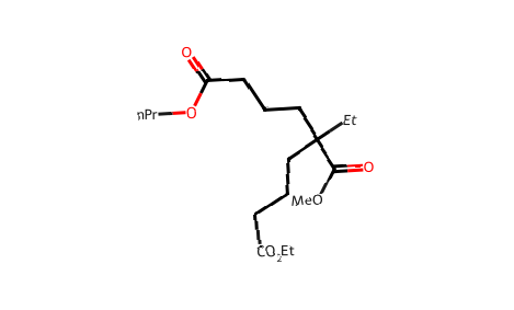 [CH2]CC(CCCC(=O)OCC)(CCCC(=O)OCCC)C(=O)OC